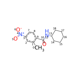 Cc1cc([N+](=O)[O-])ccc1C(=O)NC1CCCCC1